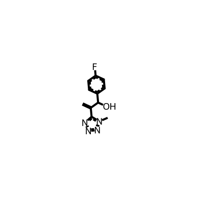 C=C(c1nnnn1C)C(O)c1ccc(F)cc1